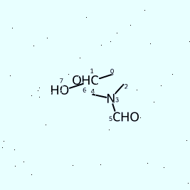 CC=O.CN(C)C=O.CO